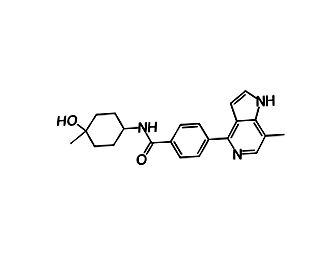 Cc1cnc(-c2ccc(C(=O)NC3CCC(C)(O)CC3)cc2)c2cc[nH]c12